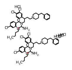 CCCCCC(N)N(CC(CCN1CCC(Cc2ccccc2)CC1)c1ccc(Cl)c(Cl)c1)C(=O)c1ccc(Cl)cc1Cl.CCCCCC(N)N(CC(CCN1CCC(Cc2ccccc2)CC1)c1ccc(Cl)c(Cl)c1)C(=O)c1ccc(Cl)cc1Cl.Cl.Cl.Cl.Cl.O